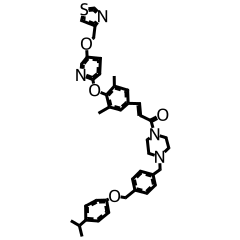 Cc1cc(C=CC(=O)N2CCN(Cc3ccc(COc4ccc(C(C)C)cc4)cc3)CC2)cc(C)c1Oc1ccc(OCc2cscn2)cn1